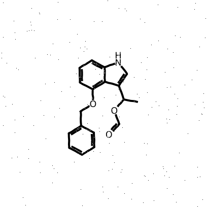 CC(OC=O)c1c[nH]c2cccc(OCc3ccccc3)c12